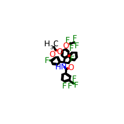 CCC(=O)Oc1cc(C(Cc2ccccc2)(NC(=O)c2ccc(F)c(C(F)(F)F)c2)c2ccc(OC(F)(F)C(F)F)cc2F)ccc1F